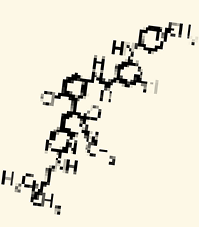 COn1c(=O)c(-c2cc(NC(=O)c3cc(Cl)nc(NC4CCN(C)CC4)c3)ccc2Cl)cc2cnc(NCCN(C)C)nc21